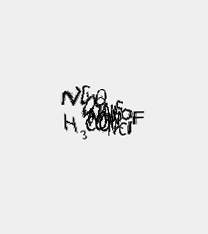 CN1C(=O)[C@@H](NC(=O)c2ncc(Cl)c(-c3cc(F)ccc3F)n2)COc2cc(C#N)ccc21